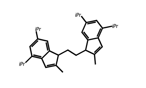 CC1=Cc2c(C(C)C)cc(C(C)C)cc2C1CCC1C(C)=Cc2c(C(C)C)cc(C(C)C)cc21